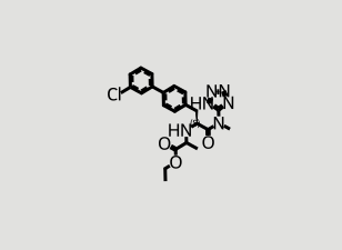 CCOC(=O)C(C)N[C@@H](Cc1ccc(-c2cccc(Cl)c2)cc1)C(=O)N(C)c1nnn[nH]1